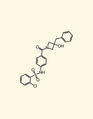 O=C(c1ccc(NS(=O)(=O)c2ccccc2Cl)cc1)N1CC(O)(Cc2ccccc2)C1